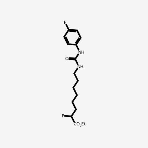 CCOC(=O)C(F)CCCCCCNC(=O)Nc1ccc(F)cc1